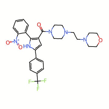 O=C(c1cc(-c2ccc(C(F)(F)F)cc2)[nH]c1-c1ccccc1[N+](=O)[O-])N1CCN(CCN2CCOCC2)CC1